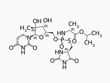 CC(C)OC(=O)[C@@H](C)NP(=O)(OC[C@H]1O[C@@H](n2ccc(=O)[nH]c2=O)[C@](C)(O)[C@@H]1O)SC[C@@H]1NC(=O)NC1=O